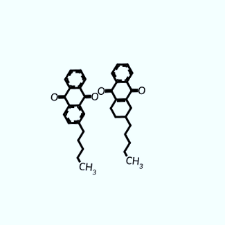 CCCCCC1CCC2=C(C1)C(=O)c1ccccc1C2=O.CCCCCc1ccc2c(c1)C(=O)c1ccccc1C2=O